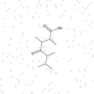 CC(C)C(C)C(=O)C(C)C(C)C(=O)O